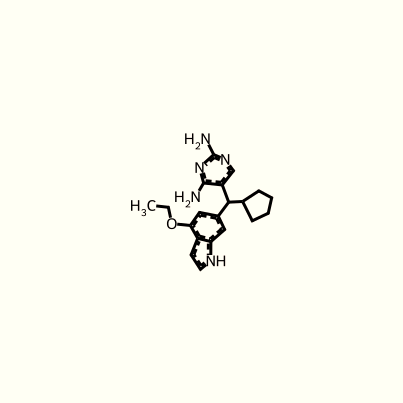 CCOc1cc(C(c2cnc(N)nc2N)C2CCCC2)cc2[nH]ccc12